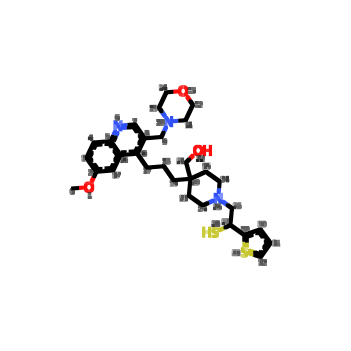 COc1ccc2ncc(CN3CCOCC3)c(CCCC3(CO)CCN(CC(S)c4cccs4)CC3)c2c1